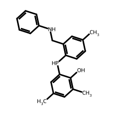 Cc1ccc(Pc2cc(C)cc(C)c2O)c(CNc2ccccc2)c1